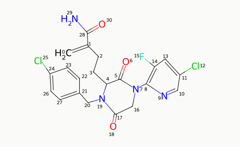 C=C(CCC1C(=O)N(c2ncc(Cl)cc2F)CC(=O)N1Cc1ccc(Cl)cc1)C(N)=O